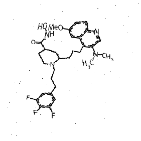 COc1ccc2ncc(N(C)C)c(CCCC3CC(C(=O)NO)CCN3CCCc3cc(F)c(F)c(F)c3)c2c1